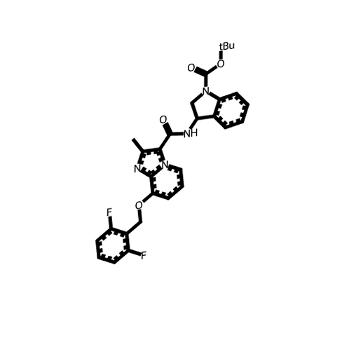 Cc1nc2c(OCc3c(F)cccc3F)cccn2c1C(=O)NC1CN(C(=O)OC(C)(C)C)c2ccccc21